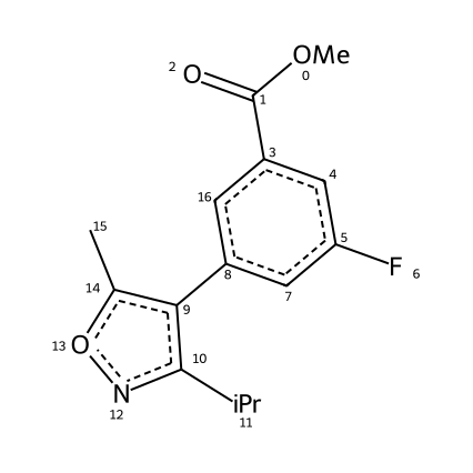 COC(=O)c1cc(F)cc(-c2c(C(C)C)noc2C)c1